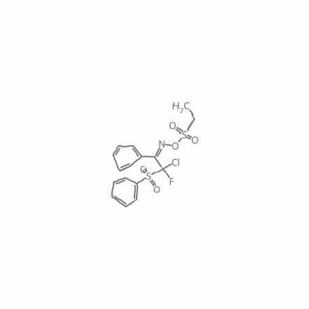 CCS(=O)(=O)ON=C(c1ccccc1)C(F)(Cl)S(=O)(=O)c1ccccc1